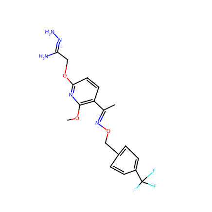 COc1nc(OC/C(N)=N/N)ccc1/C(C)=N/OCc1ccc(C(F)(F)F)cc1